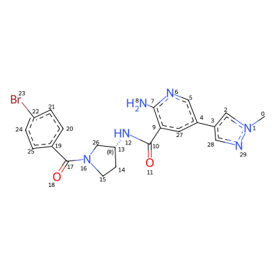 Cn1cc(-c2cnc(N)c(C(=O)N[C@@H]3CCN(C(=O)c4ccc(Br)cc4)C3)c2)cn1